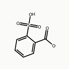 [O]C(=O)c1ccccc1S(=O)(=O)O